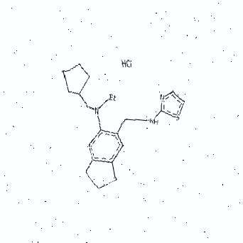 CCN(CC1CCCC1)c1cc2c(cc1CNc1nccs1)CCC2.Cl